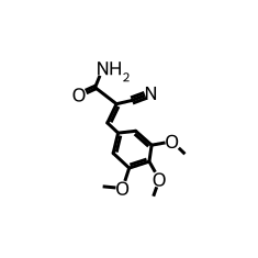 COc1cc(/C=C(\C#N)C(N)=O)cc(OC)c1OC